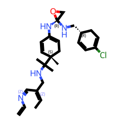 C=C/N=C\C(=C/C)CNC(C)(C)[C@]1(C)C=CC(N[C@]2(NC[C@H]3C=CC(Cl)=CC3)CO2)=CC1